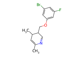 CC1=CC(C)C(COc2cc(F)cc(Br)c2)C=N1